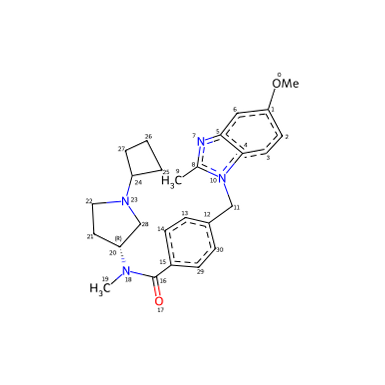 COc1ccc2c(c1)nc(C)n2Cc1ccc(C(=O)N(C)[C@@H]2CCN(C3CCC3)C2)cc1